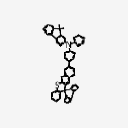 CC1(C)c2ccccc2-c2ccc(N(c3ccccc3)c3ccc(-c4ccc5cc6c(cc5c4)Sc4ccccc4C64c5ccccc5-c5ccccc54)cc3)cc21